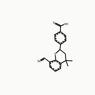 CC1(C)CC(c2ccc(C(=O)O)cc2)Sc2c(C=[Se])cccc21